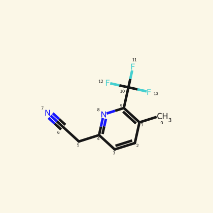 Cc1ccc(CC#N)nc1C(F)(F)F